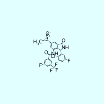 C[C@@H]1[C@H](c2cc(NC(=O)c3cc(F)cc(C(F)(F)F)c3)c3c(c2)C(=O)NC3c2cc(F)ccc2Cl)[S+]1[O-]